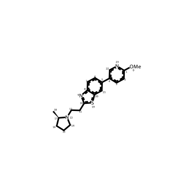 COc1ccc(-c2ccc3nc(CCN4CCC[C@H]4C)sc3c2)cn1